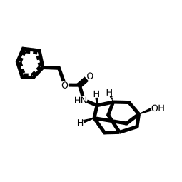 O=C(N[C@@H]1[C@@H]2CC3C[C@H]1C[C@@](O)(C3)C2)OCc1ccccc1